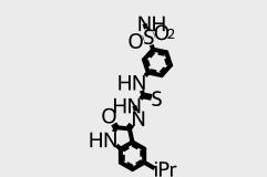 CC(C)c1ccc2c(c1)C(=NNC(=S)Nc1cccc(S(N)(=O)=O)c1)C(=O)N2